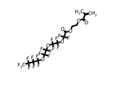 C=C(C)C(=O)OCCOC(=O)C(F)(F)OC(F)(F)C(F)(F)OC(F)(F)C(F)(F)OC(F)(F)C(F)(F)C(F)(F)C(F)(F)F